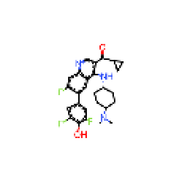 CN(C)[C@H]1CC[C@H](Nc2c(C(=O)C3CC3)cnc3cc(F)c(-c4cc(F)c(O)c(F)c4)cc23)CC1